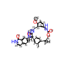 Cc1cc2ccc1[C@@H](C)COC(=O)Nc1ccc(OC(F)(F)F)c(c1)CN(C)C(=O)[C@@H]2Nc1ccc2cc[nH]c(=O)c2c1